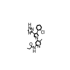 CCC(=O)Nc1cc(-n2cc(-c3nc[nH]n3)c(-c3ccccc3Cl)c2)c(C)cn1